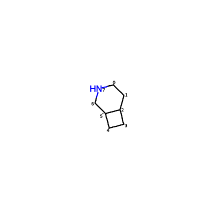 C1CC2CC[C]2CN1